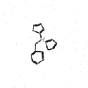 C1=CC[C]([Hf]([CH2]c2ccccc2)[C]2=CC=CC2)=C1